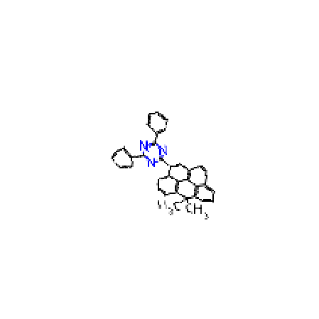 CC1(C)c2cccc3ccc4cc(-c5nc(-c6ccccc6)nc(-c6ccccc6)n5)c5cccc1c5c4c23